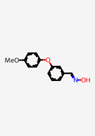 COc1ccc(Oc2cccc(C=NO)c2)cc1